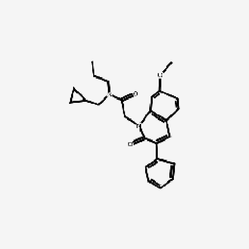 CCCN(CC1CC1)C(=O)Cn1c(=O)c(-c2ccccc2)cc2ccc(OC)cc21